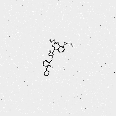 COc1cccc2c(-c3cn(Cc4cccn(C5CCCC5)c4=O)nn3)nc(N)nc12